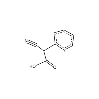 N#CC(C(=O)O)c1ccccn1